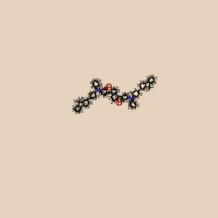 CC1(C)C2=CC(c3ccc(N(c4ccccc4)c4ccc5c(c4)oc4ccc6c(ccc7oc8cc(N(c9ccccc9)c9ccc(-c%10ccc%11c(c%10)C(C)(C)c%10ccccc%10-%11)cc9)ccc8c76)c45)cc3)=CCC2c2ccccc21